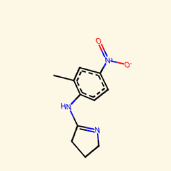 Cc1cc([N+](=O)[O-])ccc1NC1=NCCC1